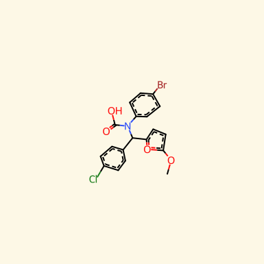 COc1ccc(C(c2ccc(Cl)cc2)N(C(=O)O)c2ccc(Br)cc2)o1